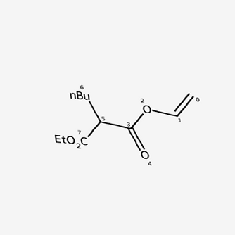 C=COC(=O)C(CCCC)C(=O)OCC